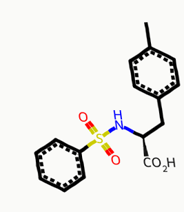 Cc1ccc(C[C@H](NS(=O)(=O)c2ccccc2)C(=O)O)cc1